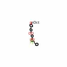 CCCCCCCCOc1ccc(-c2ccc(C(=O)Oc3ccc(C(=O)OC(CCc4ccccc4)C(F)(F)Cl)cc3)cc2)cc1